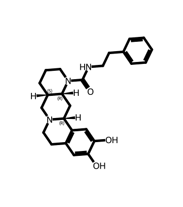 O=C(NCCc1ccccc1)N1CCC[C@H]2CN3CCc4cc(O)c(O)cc4[C@H]3C[C@H]21